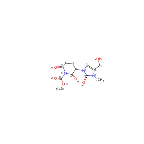 Cn1c(CO)cn(C2CCC(=O)N(C(=O)OC(C)(C)C)C2=O)c1=O